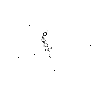 CCCCCNC(=O)c1cnc2c(c1)CC1CN(Cc3ccc(F)cc3)CCN21